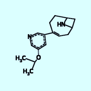 CC(C)Oc1cncc(C2=CCC3CC(CC2)N3)c1